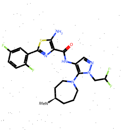 CN[C@@H]1CCCN(c2c(NC(=O)c3nc(-c4cc(F)ccc4F)sc3N)cnn2CC(F)F)CC1